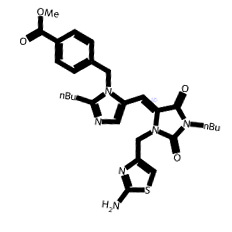 CCCCc1ncc(/C=C2/C(=O)N(CCCC)C(=O)N2Cc2csc(N)n2)n1Cc1ccc(C(=O)OC)cc1